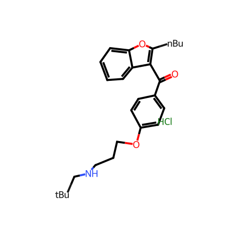 CCCCc1oc2ccccc2c1C(=O)c1ccc(OCCCNCC(C)(C)C)cc1.Cl